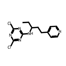 CCC(CCc1ccncc1)Nc1nc(Cl)nc(Cl)n1